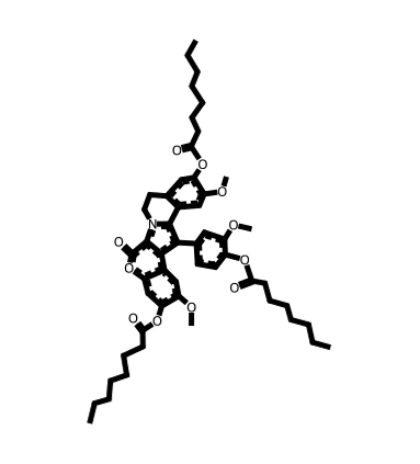 CCCCCCCC(=O)Oc1ccc(-c2c3n(c4c(=O)oc5cc(OC(=O)CCCCCCC)c(OC)cc5c24)CCc2cc(OC(=O)CCCCCCC)c(OC)cc2-3)cc1OC